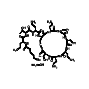 CCC(C)CCCCC(=O)N[C@@H](CCN)C(=O)N[C@H](C(=O)N[C@@H](CCN)C(=O)N[C@H]1CCNC(=O)[C@H]([C@@H](C)O)NC(=O)[C@H](CCN)NC(=O)[C@H](CCN)NC(=O)[C@H](CC(C)C)NC(=O)[C@@H](CC(C)C)NC(=O)[C@H](CCN)NC1=O)[C@@H](C)O.O=S(=O)(O)O